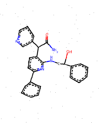 NC(=O)C(c1cccnc1)c1ccc(-c2ccccc2)nc1NCC(O)c1ccccc1